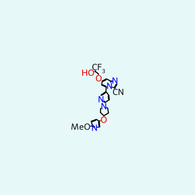 COc1ccc(OC2CCN(c3ccc(-c4cc(OCC(O)C(F)(F)F)cc5ncc(C#N)n45)cn3)CC2)cn1